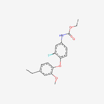 CCOC(=O)Nc1ccc(Oc2ccc(CC)cc2OC)c(F)c1